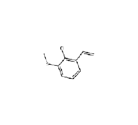 C=[C]c1cccc(SC)c1Cl